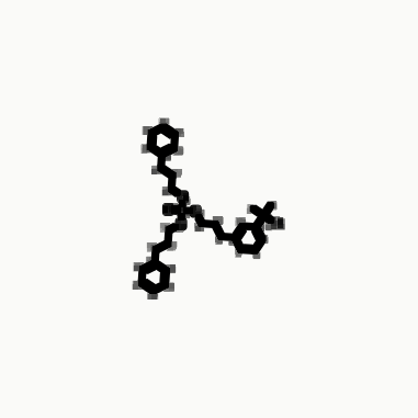 CCC(C)(C)c1cccc(CCCOP(=O)(OCCCc2ccccc2)OCCCc2ccccc2)c1